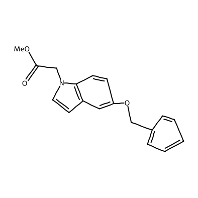 COC(=O)Cn1ccc2cc(OCc3ccccc3)ccc21